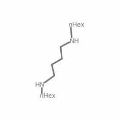 [CH2]CCCCCNCCCCNCCCCCC